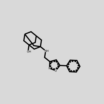 OC12CC3CC(C1)CC(NCc1cc(-c4ccccc4)on1)(C3)C2